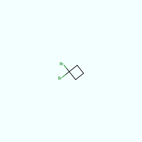 BrC1(Br)CCC1